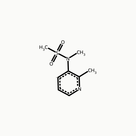 Cc1ncc[c]c1N(C)S(C)(=O)=O